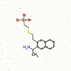 CC(N)c1cc2ccccc2cc1CCSC[CH2][Sn]([Br])([Br])[Br]